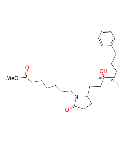 COC(=O)CCCCCCN1C(=O)CCC1CC[C@@H](O)[C@@H](C)CCCc1ccccc1